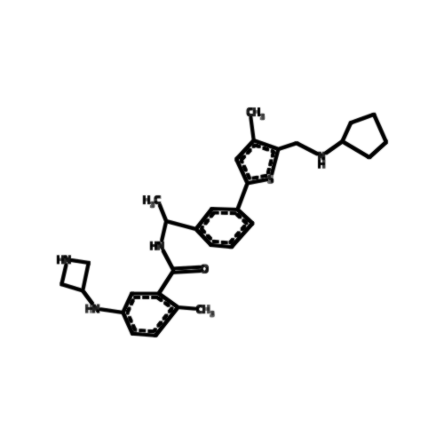 Cc1ccc(NC2CNC2)cc1C(=O)NC(C)c1cccc(-c2cc(C)c(CNC3CCCC3)s2)c1